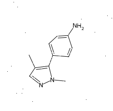 Cc1cnn(C)c1-c1ccc(N)cc1